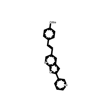 COc1ccc(/C=C/c2cnc3oc(-c4cccnc4)cc3c2)cc1